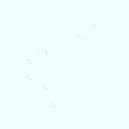 Cc1nc(Nc2cccc(NC(=O)Nc3cc(F)ccc3C)c2)cc(N2CCN(C)CC2)n1